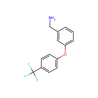 NCc1cccc(Oc2ccc(C(F)(F)F)cc2)c1